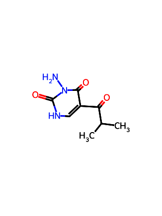 CC(C)C(=O)c1c[nH]c(=O)n(N)c1=O